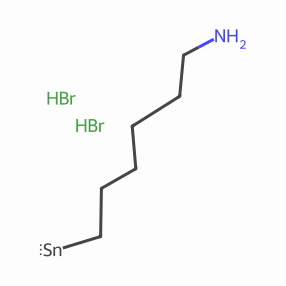 Br.Br.NCCCCC[CH2][Sn]